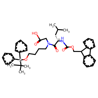 CC(C)C[C@H](NC(=O)OCC1c2ccccc2-c2ccccc21)C(=O)N(CCCCO[Si](c1ccccc1)(c1ccccc1)C(C)(C)C)CC(=O)O